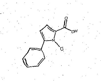 O=C(O)c1ccc(-c2ccccc2)n1Cl